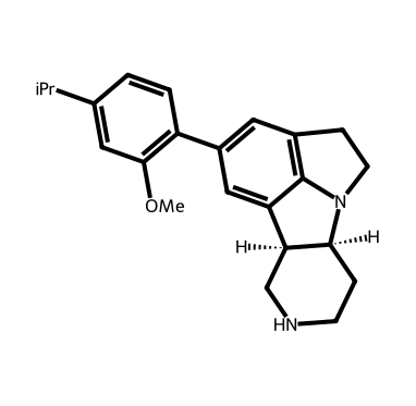 COc1cc(C(C)C)ccc1-c1cc2c3c(c1)[C@@H]1CNCC[C@@H]1N3CC2